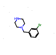 Brc1cccc(CN2C[CH]NCC2)c1